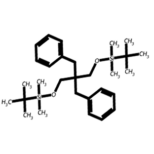 CC(C)(C)[Si](C)(C)OCC(CO[Si](C)(C)C(C)(C)C)(Cc1ccccc1)Cc1ccccc1